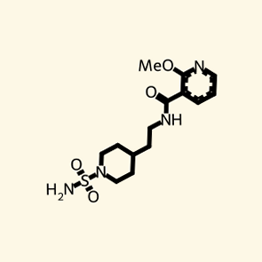 COc1ncccc1C(=O)NCCC1CCN(S(N)(=O)=O)CC1